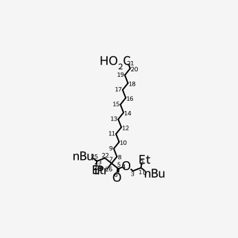 CCCCC(CC)COC(=O)C(CCCCCCCCCCCCCC(=O)O)(CC(CC)CCCC)C(C)C